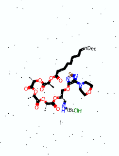 CCCCCCCCCCCCCCCCCC(=O)O[C@@H](C)C(=O)O[C@@H](C)C(=O)O[C@@H](C)C(=O)O[C@@H](C)C(=O)O[C@@H](CNC(C)(C)C)COc1nsnc1N1CCOCC1.Cl